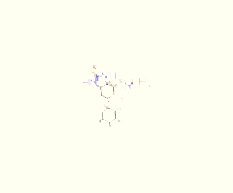 CN1CCc2c(-c3ccccc3)cc3[nH]c(=O)[nH]c3c2C1